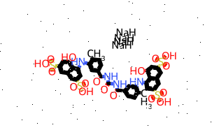 Cc1ccc(C(=O)NC(=O)NC(=O)c2ccc(C)c(Nc3cc(S(=O)(=O)O)cc4cc(S(=O)(=O)O)cc(O)c34)c2)cc1Nc1cc(S(=O)(=O)O)cc2cc(S(=O)(=O)O)cc(O)c12.[NaH].[NaH].[NaH].[NaH]